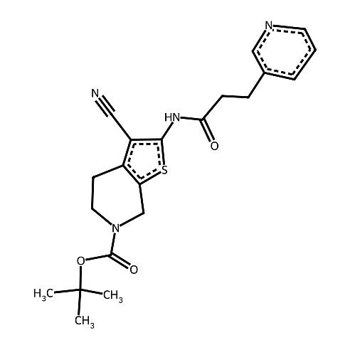 CC(C)(C)OC(=O)N1CCc2c(sc(NC(=O)CCc3cccnc3)c2C#N)C1